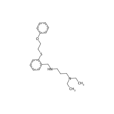 CCN(CC)CCCNCc1ccccc1SCCOc1ccccc1